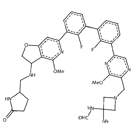 CCCC1(NC=O)CN(Cc2ncc(-c3cccc(-c4cccc(-c5cc6c(c(OC)n5)C(NCC5CCC(=O)N5)CO6)c4F)c3F)nc2OC)C1